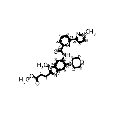 COC(=O)CCc1nc2cc(N3CCOCC3)c(NC(=O)c3cccc(-c4ccn(C)n4)n3)cc2n1C